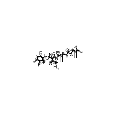 Cc1cc(F)c(COc2nsc(NC(=O)NCCC(O)CCNC(C)C)c2C(N)=O)c(F)c1F